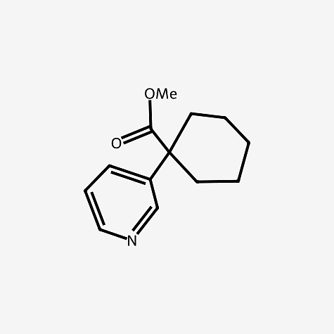 COC(=O)C1(c2cccnc2)CCCCC1